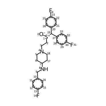 [O-][S+](CCN1CCC(NCc2ccc(F)cc2)CC1)C(c1ccc(F)cc1)c1ccc(F)cc1